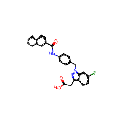 O=C(O)Cc1nn(Cc2ccc(NC(=O)c3ccc4ccccc4c3)cc2)c2cc(F)ccc12